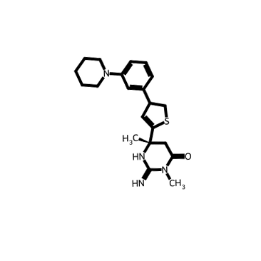 CN1C(=N)N[C@](C)(C2=CC(c3cccc(N4CCCCC4)c3)CS2)CC1=O